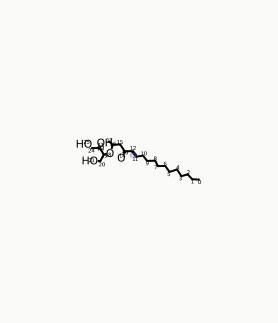 CCCCCCCCCCC/C=C/C(=O)CC(C)OC(CO)[C@@H](O)CO